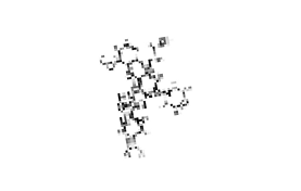 COc1ccccc1Oc1c(NS(=O)(=O)c2ncc(C(C)C)cn2)nc(N2CCOCC2)nc1OCCO